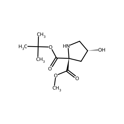 COC(=O)[C@]1(C(=O)OC(C)(C)C)C[C@@H](O)CN1